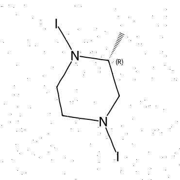 C[C@@H]1CN(I)CCN1I